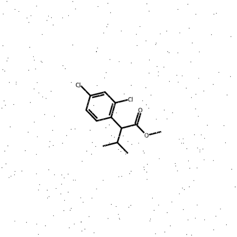 COC(=O)C(c1ccc(Cl)cc1Cl)C(C)C